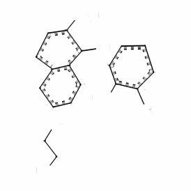 O=C(O)c1ccc2ccccc2c1O.O=C(O)c1ccccc1O.OCCO